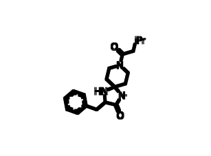 CC(C)CC(=O)N1CCC2(CC1)[N]C(=O)C(Cc1ccccc1)N2